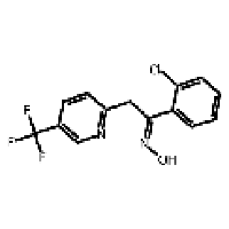 ON=C(Cc1ccc(C(F)(F)F)cn1)c1ccccc1Cl